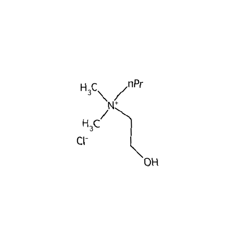 CCC[N+](C)(C)CCO.[Cl-]